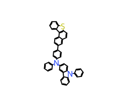 c1ccc(N(c2ccc(-c3ccc4c(ccc5sc6ccccc6c54)c3)cc2)c2ccc3c(c2)c2ccccc2n3-c2ccccc2)cc1